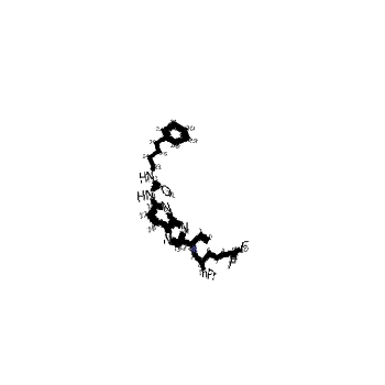 C=C/C(=C\C(CCC)CCCC(F)F)c1cnc2ccc(NC(=O)NCCCCc3ccccc3)nc2n1